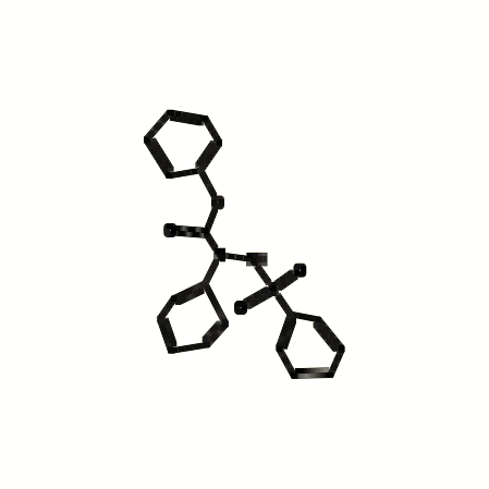 O=C(Oc1ccccc1)N(NS(=O)(=O)c1ccccc1)c1ccccc1